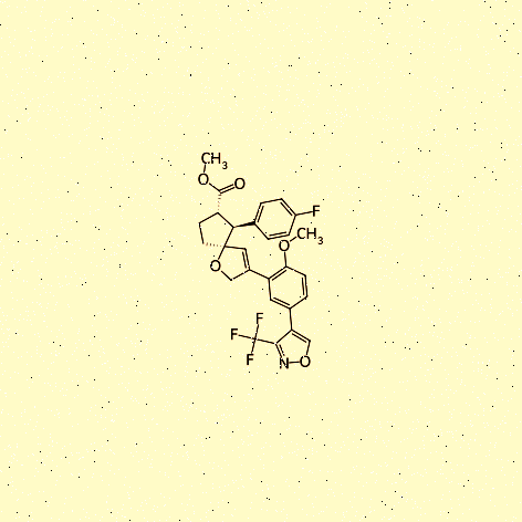 COC(=O)[C@H]1CC[C@@]2(C=C(c3cc(-c4conc4C(F)(F)F)ccc3OC)CO2)[C@@H]1c1ccc(F)cc1